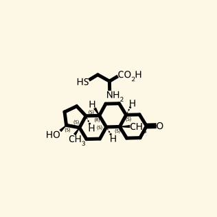 C[C@]12CCC(=O)C[C@@H]1CC[C@@H]1[C@@H]2CC[C@]2(C)[C@@H](O)CC[C@@H]12.NC(CS)C(=O)O